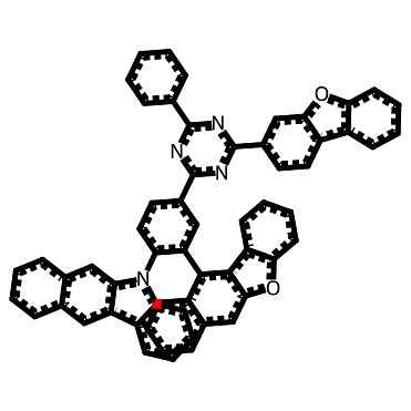 c1ccc(-c2nc(-c3ccc(-n4c5ccccc5c5cc6ccccc6cc54)c(-c4c5ccccc5cc5oc6ccccc6c45)c3)nc(-c3ccc4c(c3)oc3ccccc34)n2)cc1